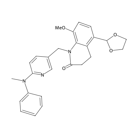 COc1ccc(C2OCCO2)c2c1N(Cc1ccc(N(C)c3ccccc3)nc1)C(=O)CC2